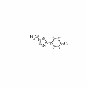 Nc1[c]nc(-c2ccc(Cl)cc2)s1